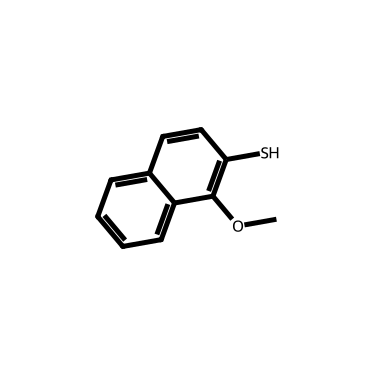 COc1c(S)ccc2ccccc12